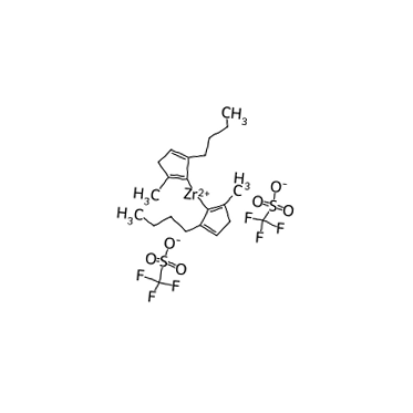 CCCCC1=CCC(C)=[C]1[Zr+2][C]1=C(C)CC=C1CCCC.O=S(=O)([O-])C(F)(F)F.O=S(=O)([O-])C(F)(F)F